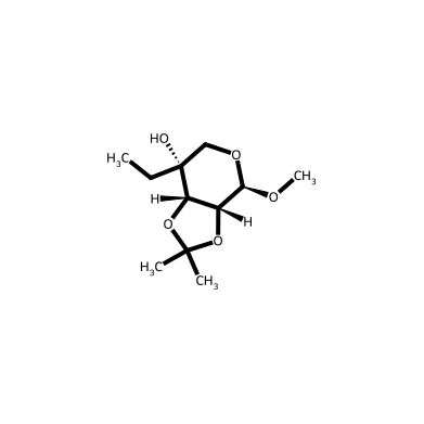 CC[C@@]1(O)CO[C@@H](OC)[C@@H]2OC(C)(C)O[C@@H]21